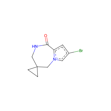 O=C1NCC2(CC2)Cn2cc(Br)cc21